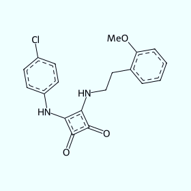 COc1ccccc1CCNc1c(Nc2ccc(Cl)cc2)c(=O)c1=O